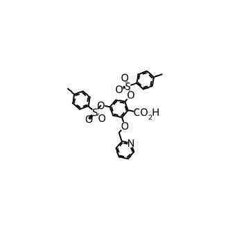 Cc1ccc(S(=O)(=O)Oc2cc(OCc3ccccn3)c(C(=O)O)c(OS(=O)(=O)c3ccc(C)cc3)c2)cc1